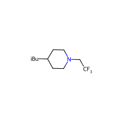 CCC(C)C1CCN(CC(F)(F)F)CC1